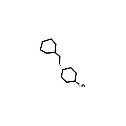 CCC[C@H]1CC[C@H](CCC2CC[CH]CC2)CC1